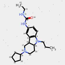 CCCN1c2ccc(NC(=O)NCC)cc2C2CN(C3CCCC3)CCC21